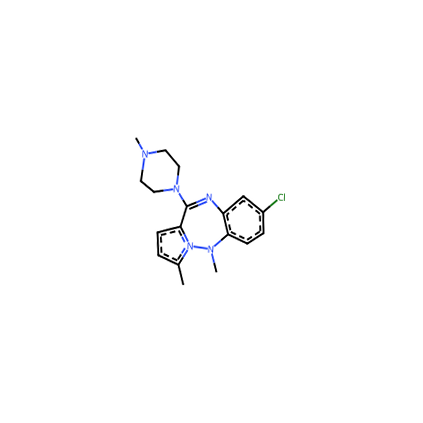 Cc1ccc2n1N(C)c1ccc(Cl)cc1N=C2N1CCN(C)CC1